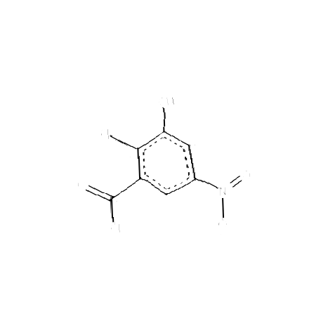 Cc1cc([N+](=O)[O-])cc(C(=O)Cl)c1Cl